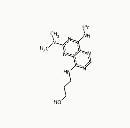 CCCNc1nc(N(C)C)nc2c(NCCCO)ncnc12